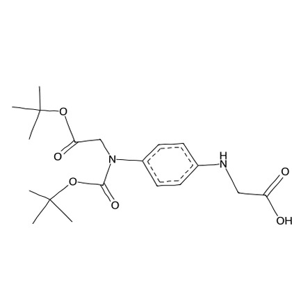 CC(C)(C)OC(=O)CN(C(=O)OC(C)(C)C)c1ccc(NCC(=O)O)cc1